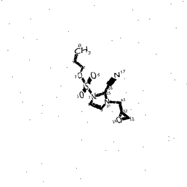 CCCOS(=O)(=O)N1C=CN(CC2CO2)C1C#N